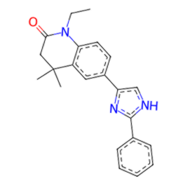 CCN1C(=O)CC(C)(C)c2cc(-c3c[nH]c(-c4ccccc4)n3)ccc21